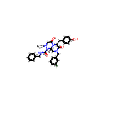 CN1CC(=O)N2[C@@H](Cc3ccc(O)cc3)C(=O)N(Cc3cccc(F)c3)C[C@@H]2N1C(=O)NCc1ccccc1